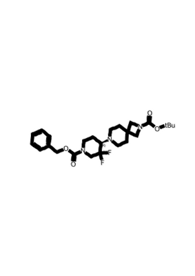 CC(C)(C)OC(=O)N1CC2(CCN([C@@H]3CCN(C(=O)OCc4ccccc4)CC3(F)F)CC2)C1